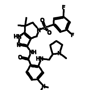 CN(C)c1ccc(C(=O)Nc2n[nH]c3c2CN(S(=O)(=O)c2cc(F)cc(F)c2)CC3(C)C)c(NCC2CCCN2C)c1